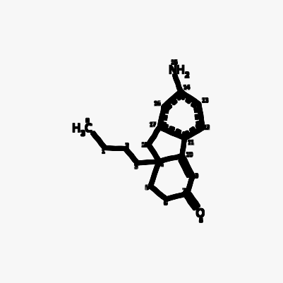 CCCCC12CCC(=O)C=C1c1ccc(N)cc1C2